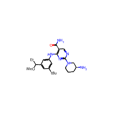 CCC(OC)c1cc(Nc2nc(N3CCC[C@H](N)C3)ncc2C(N)=O)cc(C(C)(C)C)c1